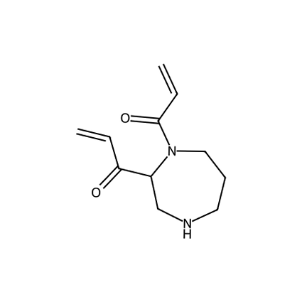 C=CC(=O)C1CNCCCN1C(=O)C=C